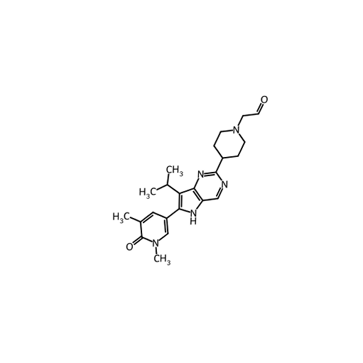 Cc1cc(-c2[nH]c3cnc(C4CCN(CC=O)CC4)nc3c2C(C)C)cn(C)c1=O